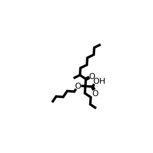 CCCCCCC(C)C(=O)C(CCCC)(OCCCCC)C(=O)O